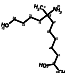 CC(O)CCCCCC(C)(N)CCCCO